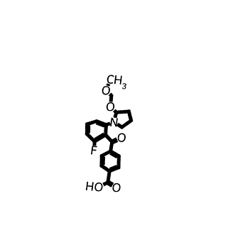 COCOC1CCCN1c1cccc(F)c1C(=O)c1ccc(C(=O)O)cc1